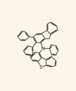 c1ccc(-c2cc3c(c(N(c4ccccc4)c4cccc5sc6ccccc6c45)c2-c2ccccc2)Cc2ccccc2-3)cc1